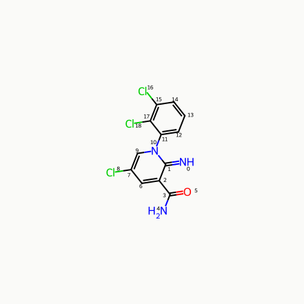 N=c1c(C(N)=O)cc(Cl)cn1-c1cccc(Cl)c1Cl